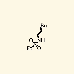 CCC(C)[CH]CNS(=O)(=O)CC